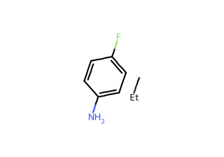 CCC.Nc1ccc(F)cc1